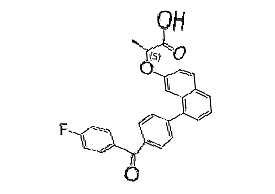 C[C@H](Oc1ccc2cccc(-c3ccc(C(=O)c4ccc(F)cc4)cc3)c2c1)C(=O)O